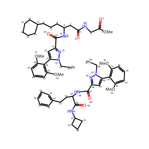 COC(=O)CNC(=O)CC(CCCC1CCCCC1)NC(=O)c1cc(-c2c(OC)cccc2OC)n(CC(C)C)n1.COc1cccc(OC)c1-c1cc(C(=O)NC(CCc2ccccc2)C(=O)NC2CCC2)nn1CC(C)C